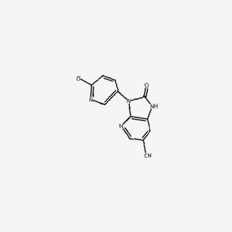 N#Cc1cnc2c(c1)[nH]c(=O)n2-c1ccc(Cl)nc1